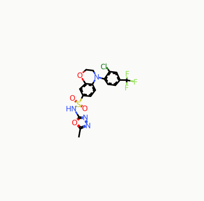 Cc1nnc(NS(=O)(=O)c2ccc3c(c2)OCCN3c2ccc(C(F)(F)F)cc2Cl)o1